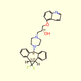 O[C@@H](COc1cccc2ncccc12)CN1CCN([C@@H]2c3ccccc3[C@@H]3[C@H](c4ccccc42)C3(F)F)CC1